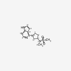 CN(C1CCN(c2ncnc3[nH]ccc23)C1)S(C)(=O)=O